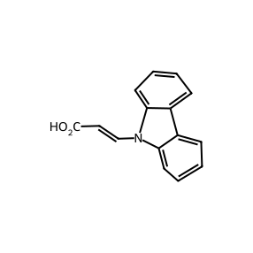 O=C(O)C=Cn1c2ccccc2c2ccccc21